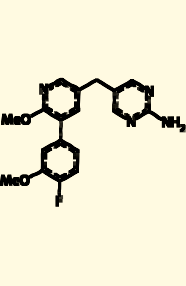 COc1cc(-c2cc(Cc3cnc(N)nc3)cnc2OC)ccc1F